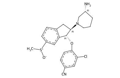 C[S+]([O-])c1ccc2c(c1)[C@@H](Oc1ccc(C#N)cc1Cl)[C@H](N1CCC[C@@H](N)C1)C2